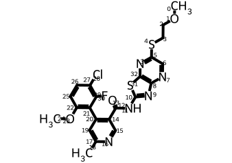 COCCSc1cnc2nc(NC(=O)c3cnc(C)cc3-c3c(OC)ccc(Cl)c3F)sc2n1